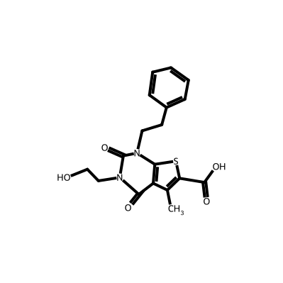 Cc1c(C(=O)O)sc2c1c(=O)n(CCO)c(=O)n2CCc1ccccc1